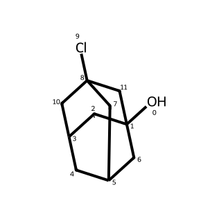 OC12[CH]C3CC(C1)CC(Cl)(C3)C2